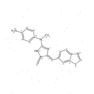 CN(C1=N/C(=C\c2ccc3ncsc3c2)C(=O)N1)c1ccc(N)cc1